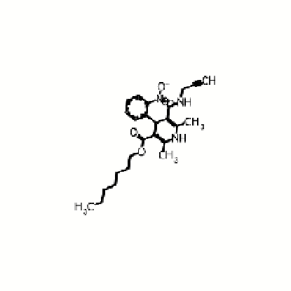 C#CCNC(=O)C1=C(C)NC(C)=C(C(=O)OCCCCCCC)C1c1ccccc1[N+](=O)[O-]